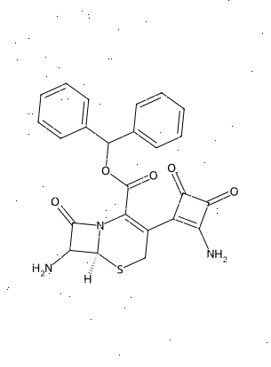 Nc1c(C2=C(C(=O)OC(c3ccccc3)c3ccccc3)N3C(=O)C(N)[C@@H]3SC2)c(=O)c1=O